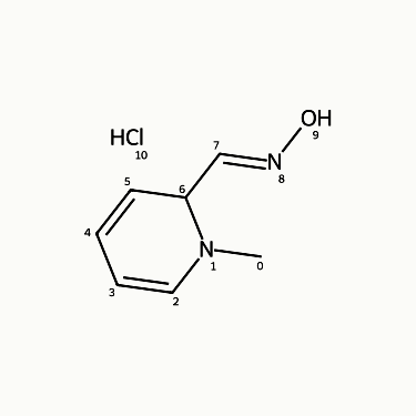 CN1C=CC=CC1C=NO.Cl